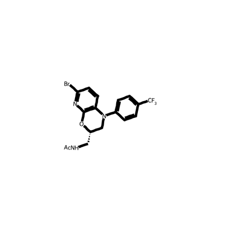 CC(=O)NC[C@H]1CN(c2ccc(C(F)(F)F)cc2)c2ccc(Br)nc2O1